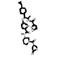 CC(NC(=O)c1ccon1)C(Oc1ccc(C(=O)N[C@H]2CCCN(C(=O)[C@H]3COC(=O)C3)C2)nc1)c1ccc(C2CC2)cc1